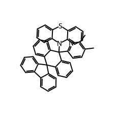 Cc1ccc(C2(N3c4ccccc4Sc4ccccc43)c3ccccc3C3(c4ccccc4-c4ccccc43)c3ccccc32)nc1C